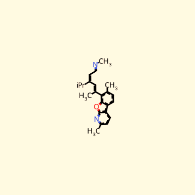 C/N=C/C=C(\C=C(/C)c1c(C)ccc2c1oc1nc(C)ccc12)C(C)C